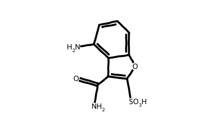 NC(=O)c1c(S(=O)(=O)O)oc2cccc(N)c12